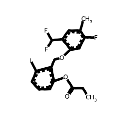 CCC(=O)Oc1cccc(I)c1COc1cc(F)c(C)cc1C(F)F